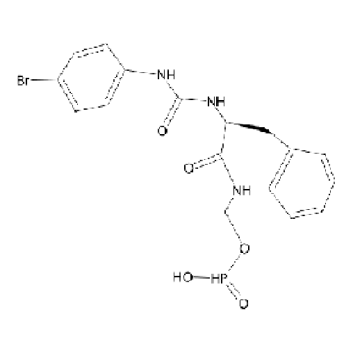 O=C(Nc1ccc(Br)cc1)N[C@@H](Cc1ccccc1)C(=O)NCO[PH](=O)O